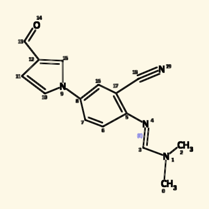 CN(C)/C=N/c1ccc(-n2ccc(C=O)c2)cc1C#N